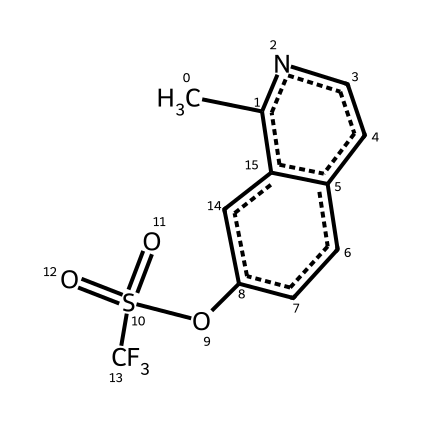 Cc1nccc2ccc(OS(=O)(=O)C(F)(F)F)cc12